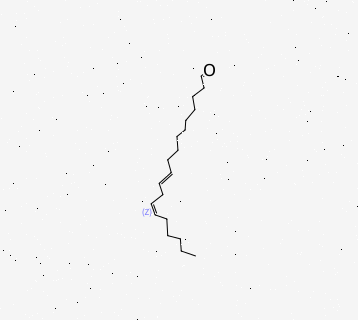 CCCCC/C=C\CC=CCCCCCCCCC=O